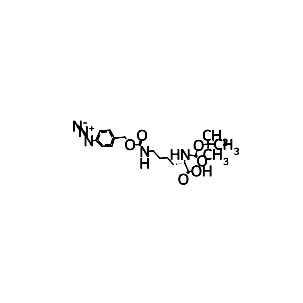 CC(C)(C)OC(=O)N[C@@H](CCCCNC(=O)OCc1ccc(N=[N+]=[N-])cc1)C(=O)O